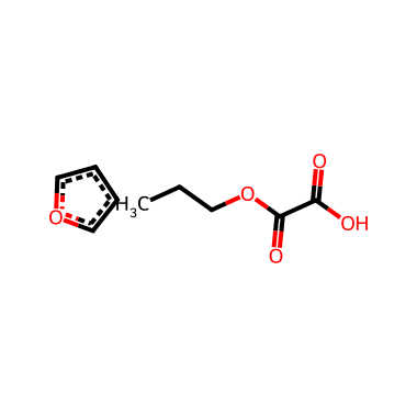 CCCOC(=O)C(=O)O.c1ccoc1